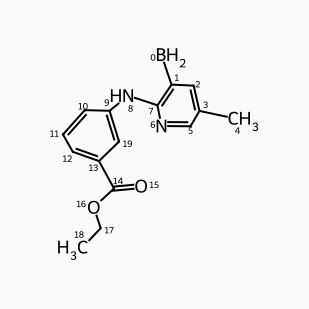 Bc1cc(C)cnc1Nc1cccc(C(=O)OCC)c1